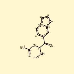 CCNC(OC(=O)CC)C(=O)c1ccn2cccc2c1